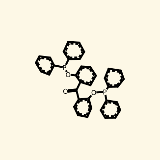 O=C(c1ccccc1OP(c1ccccc1)c1ccccc1)c1ccccc1OP(c1ccccc1)c1ccccc1